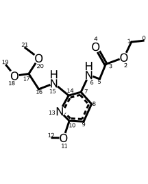 CCOC(=O)CNc1ccc(OC)nc1NCC(OC)OC